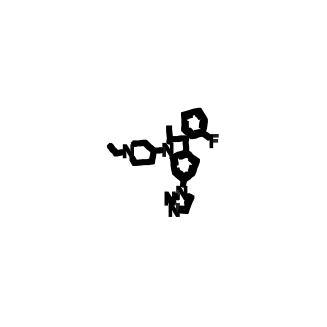 CCN1CCC(N2c3cc(-n4ccnn4)ccc3CC2C)CC1.Fc1ccccc1